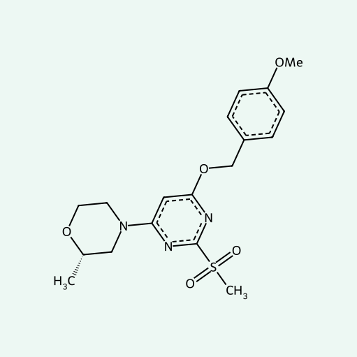 COc1ccc(COc2cc(N3CCO[C@@H](C)C3)nc(S(C)(=O)=O)n2)cc1